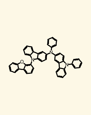 c1ccc(N(c2ccc3c(c2)c2ccccc2n3-c2ccccc2)c2ccc3c(c2)c2ccccc2n3-c2cccc3c2oc2ccccc23)cc1